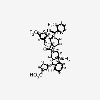 CCC[C@H]1N(C(=O)c2ncccc2C(F)(F)F)CCC[C@@]1(Oc1csc(C(F)(F)F)c1)C(=O)N1CCC(N)(c2ccccc2O[C@H]2CC[C@@H](C(=O)O)C2)CC1